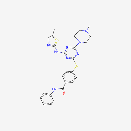 Cc1cnc(Nc2nc(Sc3ccc(C(=O)Nc4ccccc4)cc3)nc(N3CCN(C)CC3)n2)s1